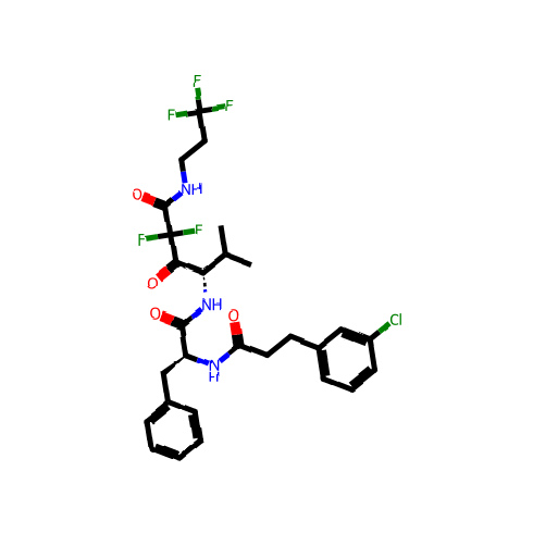 CC(C)[C@H](NC(=O)[C@H](Cc1ccccc1)NC(=O)CCc1cccc(Cl)c1)C(=O)C(F)(F)C(=O)NCCC(F)(F)F